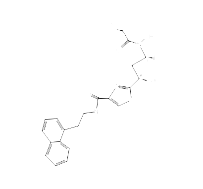 CC[C@H](C)CC(=O)N(C)[C@H](C[C@@H](OC(C)=O)c1nc(C(=O)NCCc2cccc3ccccc23)cs1)C(C)C